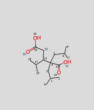 CC(C)CC(CC(C)C)(C(=O)O)C(CC(=O)O)C(C)C